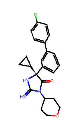 N=C1N[C@@](c2cccc(-c3ccc(Cl)cc3)c2)(C2CC2)C(=O)N1C1CCOCC1